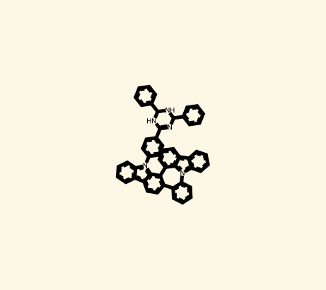 c1ccc(C2N=C(c3ccc(-n4c5ccccc5c5ccc6c(c54)-c4cccc5c7ccccc7n(c45)-c4ccccc4-6)cc3)NC(c3ccccc3)N2)cc1